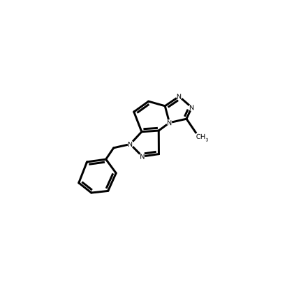 Cc1nnc2ccc3c(cnn3Cc3ccccc3)n12